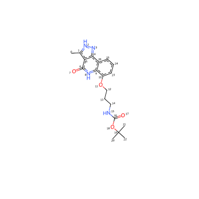 Cc1[nH]nc2c1c(=O)[nH]c1c(OCCCNC(=O)OC(C)(C)C)cccc12